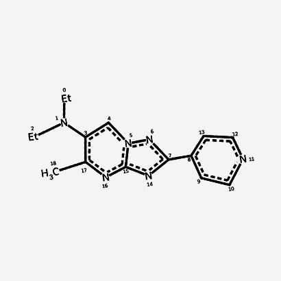 CCN(CC)c1cn2nc(-c3ccncc3)nc2nc1C